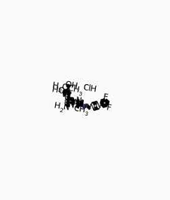 Cc1c(/C=C/CN2CCN(c3cc(F)cc(F)c3)CC2)cnn1-c1cc(N2C[C@H](O)[C@@H](C(C)(C)O)C2)nc(N)n1.Cl